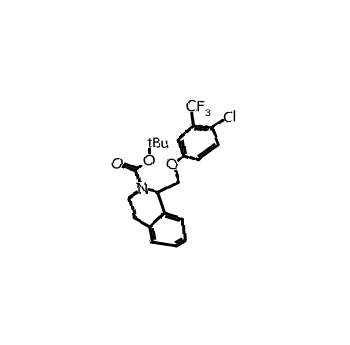 CC(C)(C)OC(=O)N1CCc2ccccc2C1COc1ccc(Cl)c(C(F)(F)F)c1